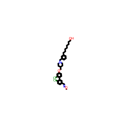 CON=Cc1ccc(Cl)c(-c2ccc(OCC3CCN(Cc4cccc(CCCCCCCCO)c4)CC3)cc2Cl)c1